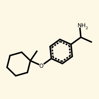 CC(N)c1ccc(OC2(C)CCCCC2)cc1